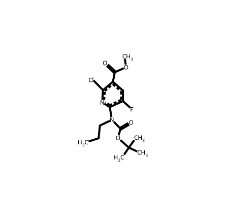 CCCN(C(=O)OC(C)(C)C)c1nc(Cl)c(C(=O)OC)cc1F